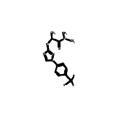 CC(Oc1ncn(-c2ccc(C(F)(F)F)cc2)n1)C(=O)N(C)C